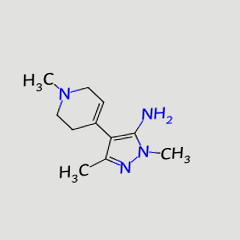 Cc1nn(C)c(N)c1C1=CCN(C)CC1